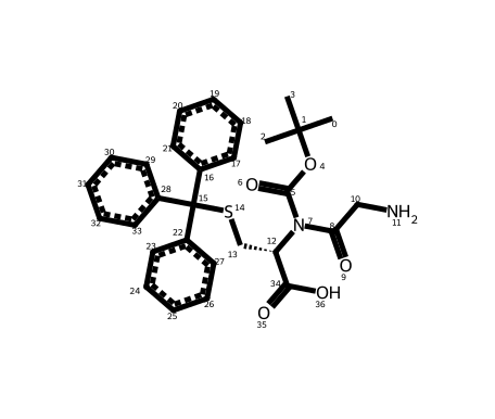 CC(C)(C)OC(=O)N(C(=O)CN)[C@@H](CSC(c1ccccc1)(c1ccccc1)c1ccccc1)C(=O)O